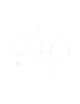 C=CCC1(C(CC=C)(CC(=O)O)C2CCCCC2)CCCCC1